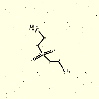 CCCS(=O)(=O)CCC.[LiH]